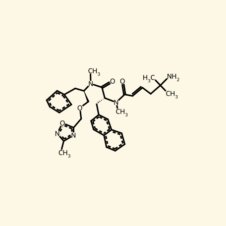 Cc1noc(COC[C@@H](Cc2ccccc2)N(C)C(=O)[C@@H](Cc2ccc3ccccc3c2)N(C)C(=O)C=CCC(C)(C)N)n1